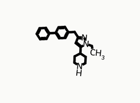 CCn1nc(Cc2ccc(-c3ccccc3)cc2)cc1C1CCNCC1